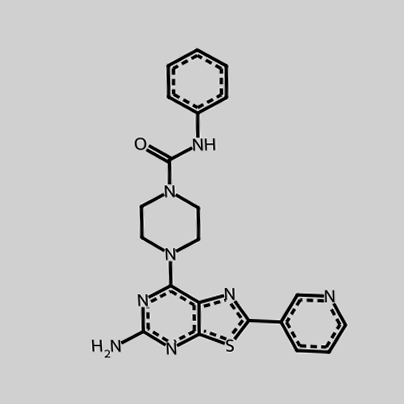 Nc1nc(N2CCN(C(=O)Nc3ccccc3)CC2)c2nc(-c3cccnc3)sc2n1